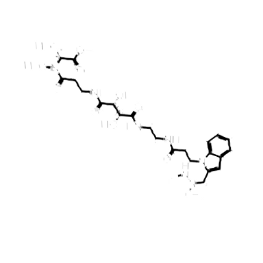 CNN(C)Cc1cc2ccccc2n1CCC(=O)NCCNC(=O)[C@@H](O)[C@@H](O)C(=O)NCCC(=O)N(C)[C@@H](C)C(=O)O